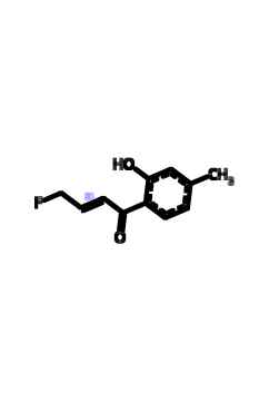 Cc1ccc(C(=O)/C=C/CF)c(O)c1